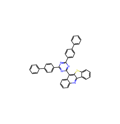 c1ccc(-c2ccc(-c3nc(-c4ccc(-c5ccccc5)cc4)nc(-c4c5ccccc5nc5c4sc4ccccc45)n3)cc2)cc1